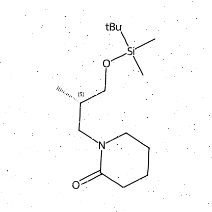 C[C@H](CO[Si](C)(C)C(C)(C)C)CN1CCCCC1=O